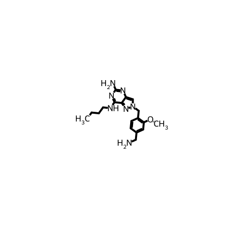 CCCCNc1nc(N)nc2cn(Cc3ccc(CN)cc3OC)nc12